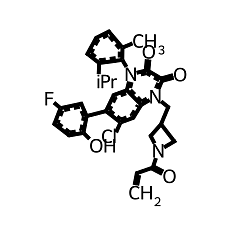 C=CC(=O)N1CC(Cn2c(=O)c(=O)n(-c3c(C)cccc3C(C)C)c3cc(-c4cc(F)ccc4O)c(Cl)cc32)C1